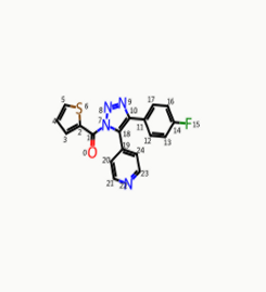 O=C(c1cccs1)n1nnc(-c2ccc(F)cc2)c1-c1ccncc1